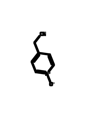 N#CCc1cc[n+]([O-])cc1